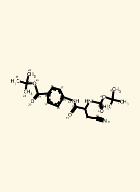 CC(C)(C)OC(=O)NC(CC#N)C(=O)Nc1ccc(C(=O)OC(C)(C)C)cc1